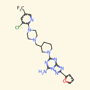 Nc1nc(N2CCCC(CN3CCN(c4ncc(C(F)(F)F)cc4Cl)CC3)C2)nc2nc(-c3ccco3)nn12